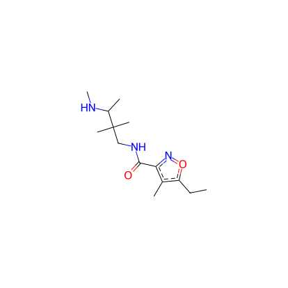 CCc1onc(C(=O)NCC(C)(C)C(C)NC)c1C